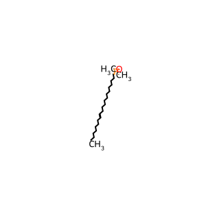 CCCCCCCCC=CCCCCCCCCCCCCP(C)(C)=O